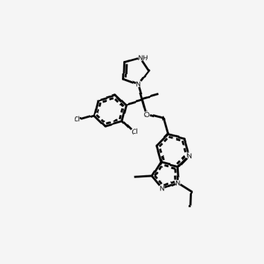 CCn1nc(C)c2cc(COC(C)(c3ccc(Cl)cc3Cl)N3C=CNC3)cnc21